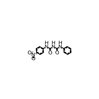 O=C(NC(=O)Nc1ccc([N+](=O)[O-])cc1)Nc1ccccc1